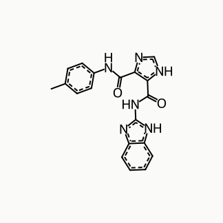 Cc1ccc(NC(=O)c2nc[nH]c2C(=O)Nc2nc3ccccc3[nH]2)cc1